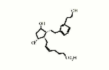 O=C(O)CCC/C=C\C[C@@H]1[C@@H](CCc2cccc(CCO)c2)[C@H](O)C[C@H]1Cl